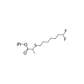 CC(C)OC(=O)C(C)SCCCCCCC(F)F